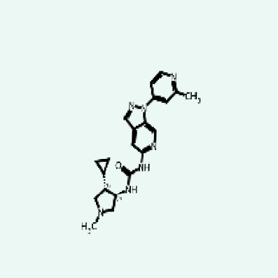 Cc1cc(-n2ncc3cc(NC(=O)N[C@H]4CN(C)C[C@@H]4C4CC4)ncc32)ccn1